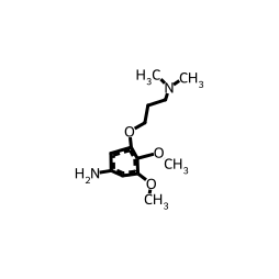 COc1cc(N)cc(OCCCN(C)C)c1OC